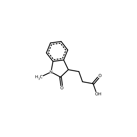 CN1C(=O)C(CCC(=O)O)c2ccccc21